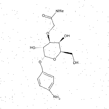 CNC(=O)CO[C@H]1[C@@H](O)[C@@H](CO)O[C@H](Oc2ccc(N)cc2)[C@@H]1O